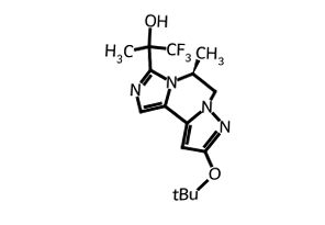 C[C@H]1Cn2nc(OC(C)(C)C)cc2-c2cnc(C(C)(O)C(F)(F)F)n21